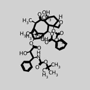 CC(=O)O[C@@]12CO[C@@H]1C[C@H](O)[C@@]1(C)C(=O)[C@H](C)C3=C(C)[C@@H](OC(=O)[C@H](O)[C@@H](NC(=O)OC(C)(C)C)c4ccccc4)C[C@@](O)([C@@H](OC(=O)c4ccccc4)C12)C3(C)C